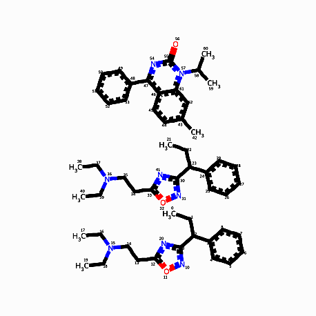 CCC(c1ccccc1)c1noc(CCN(CC)CC)n1.CCC(c1ccccc1)c1noc(CCN(CC)CC)n1.Cc1ccc2c(-c3ccccc3)nc(=O)n(C(C)C)c2c1